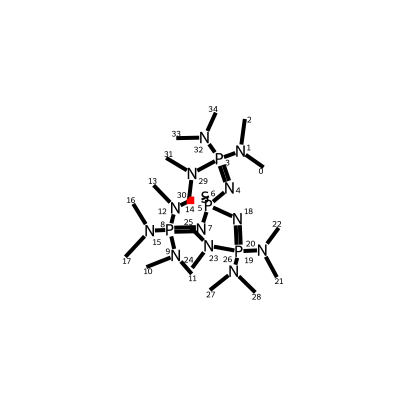 CN(C)P(=NP(=S)(N=P(N(C)C)(N(C)C)N(C)C)N=P(N(C)C)(N(C)C)N(C)C)(N(C)C)N(C)C